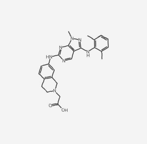 Cc1cccc(C)c1Nc1nn(C)c2nc(Nc3ccc4c(c3)CN(CC(=O)O)CC4)ncc12